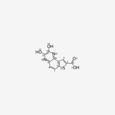 O=C(O)c1cc2c(ccc3nc(O)c(O)nc32)s1